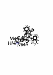 CN/C(=C(/Cl)C=N)c1cc(C(=O)N[C@@H](Cc2ccccc2C(F)(F)F)CN2C(=O)c3ccccc3C2=O)sc1OC